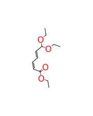 CCOC(=O)/C=C\C=C\C(OCC)OCC